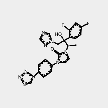 C[C@@H](n1ccn(-c2ccc(-n3cnnn3)cc2)c1=O)[C@](O)(Cn1cncn1)c1ccc(F)cc1F